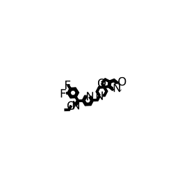 CCON=C(c1ccc(CN2CCC3(CC2)OCc2cc(=O)n(C)cc23)nc1)c1ccc(F)c(F)c1